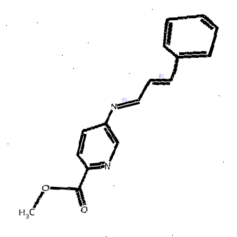 COC(=O)c1ccc(/N=C/C=C/c2ccccc2)cn1